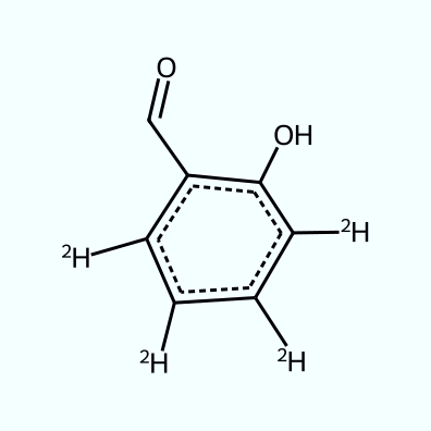 [2H]c1c([2H])c([2H])c(C=O)c(O)c1[2H]